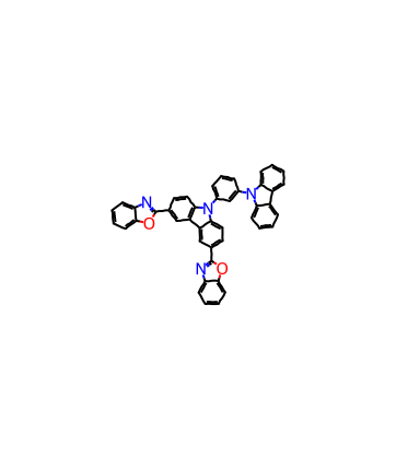 c1cc(-n2c3ccccc3c3ccccc32)cc(-n2c3ccc(-c4nc5ccccc5o4)cc3c3cc(-c4nc5ccccc5o4)ccc32)c1